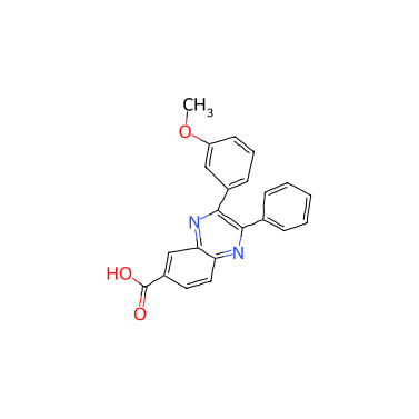 COc1cccc(-c2nc3cc(C(=O)O)ccc3nc2-c2ccccc2)c1